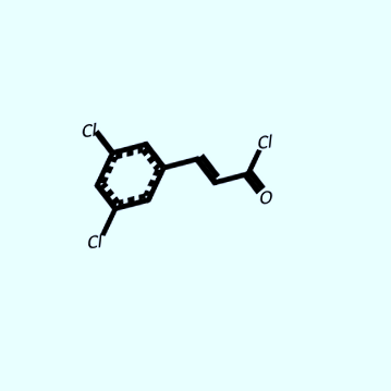 O=C(Cl)C=Cc1cc(Cl)cc(Cl)c1